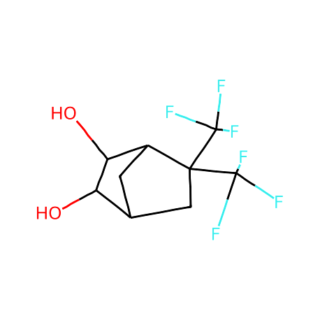 OC1C2CC(C1O)C(C(F)(F)F)(C(F)(F)F)C2